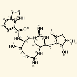 CN1CC(=O)N(CC2NC(=N)N3CC2NC(=N)NCC(O)[C@@H](NC(=O)c2cccc4c2NCC4)C3)C1O